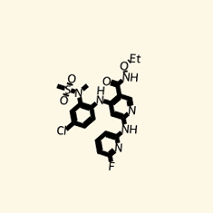 CCONC(=O)c1cnc(Nc2cccc(F)n2)cc1Nc1ccc(Cl)cc1N(C)S(C)(=O)=O